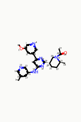 COc1cncc(-c2cc(Nc3cncc(C)c3)nc([C@H]3CC[C@H](C)N(C(C)=O)C3)n2)c1